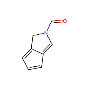 O=[C]N1C=C2C=CC=C2C1